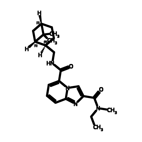 CCN(C)C(=O)c1cn2c(C(=O)NC[C@@H]3CC[C@H]4C[C@@H]3C4(C)C)cccc2n1